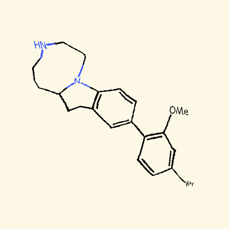 COc1cc(C(C)C)ccc1-c1ccc2c(c1)CC1CCNCCN21